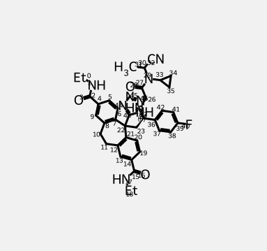 CCNC(=O)c1ccc2c(c1)CCc1cc(C(=O)NCC)ccc1C2(C[C@@H](NCC(=O)N(C(C)C#N)C1CC1)c1ccc(F)cc1)c1nnn[nH]1